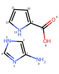 Nc1c[nH]cn1.O=C(O)c1ccc[nH]1